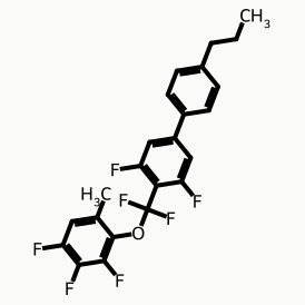 CCCc1ccc(-c2cc(F)c(C(F)(F)Oc3c(C)cc(F)c(F)c3F)c(F)c2)cc1